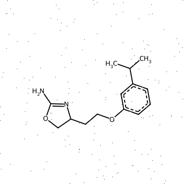 CC(C)c1cccc(OCCC2COC(N)=N2)c1